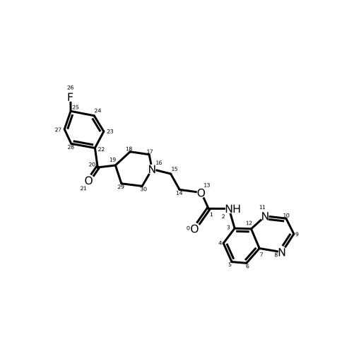 O=C(Nc1cccc2nccnc12)OCCN1CCC(C(=O)c2ccc(F)cc2)CC1